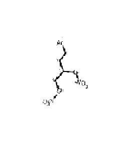 CC(=O)CCC(CO[N+](=O)[O-])O[N+](=O)[O-]